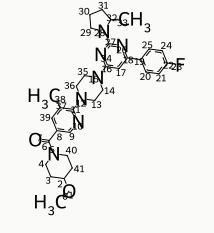 COC1CCN(C(=O)c2cnc(N3CCN(c4cc(-c5ccc(F)cc5)nc(N5CCCC5C)n4)CC3)c(C)c2)CC1